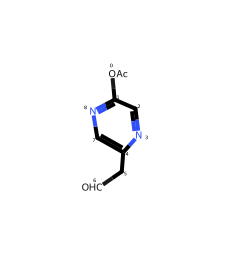 CC(=O)Oc1cnc(CC=O)cn1